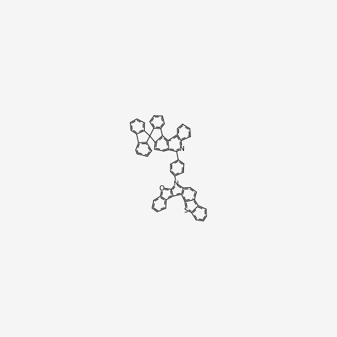 c1ccc2c(c1)-c1ccccc1C21c2ccccc2-c2c1ccc1c(-c3ccc(-n4c5ccc6c7ccccc7sc6c5c5c6ccccc6oc54)cc3)nc3ccccc3c21